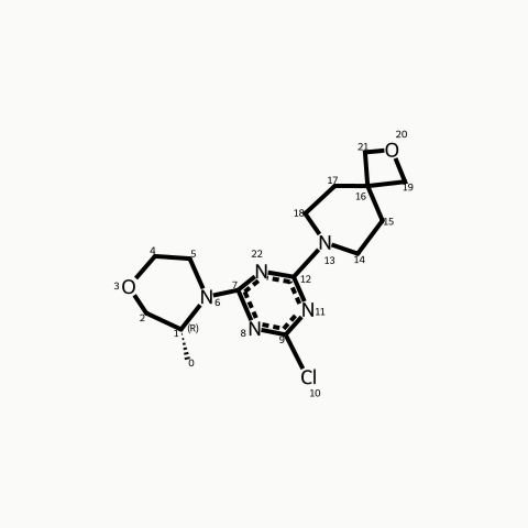 C[C@@H]1COCCN1c1nc(Cl)nc(N2CCC3(CC2)COC3)n1